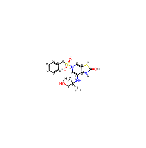 CC(C)(CO)Nc1cn(S(=O)(=O)Cc2ccccc2)cc2sc(=O)nc1-2